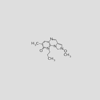 CCCn1c2c(cc(C)c1=O)N=CC1=CN(OC)CN12